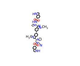 CCn1nc([C@@H](CNS(=O)(=O)c2ccc3cc[nH]c3c2)N2CCC2)c2ccc(-c3ccc4c(C(CN(CC#N)S(=O)(=O)c5ccc6cc[nH]c6c5)N5CCCC5)cn(C)c4c3)cc21